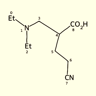 CCN(CC)CC(CCC#N)C(=O)O